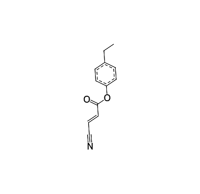 CCc1ccc(OC(=O)C=CC#N)cc1